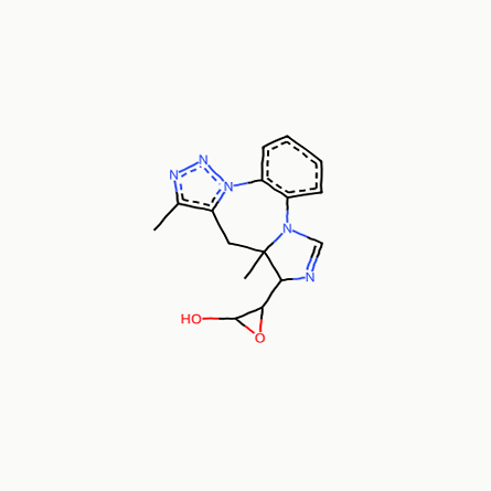 Cc1nnn2c1CC1(C)C(C3OC3O)N=CN1c1ccccc1-2